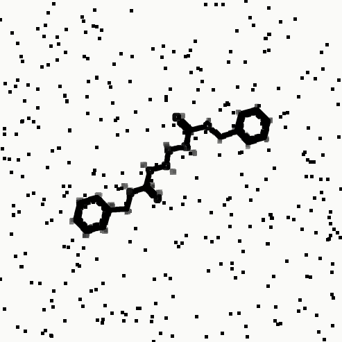 O=C(OCc1ccccc1)OOOOC(=O)OCc1ccccc1